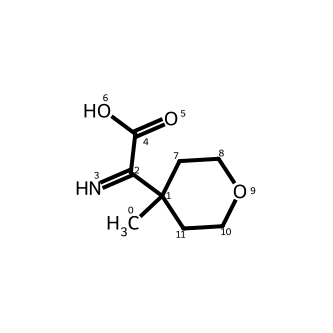 CC1(C(=N)C(=O)O)CCOCC1